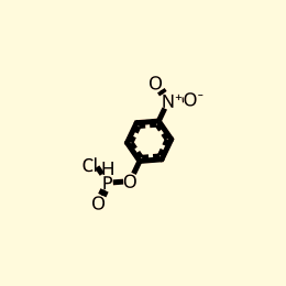 O=[N+]([O-])c1ccc(O[PH](=O)Cl)cc1